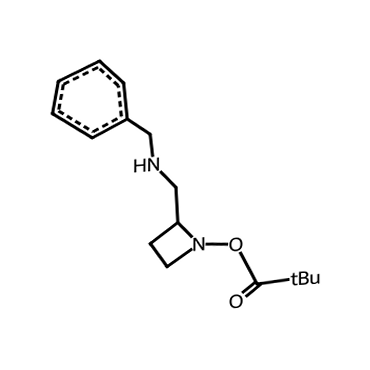 CC(C)(C)C(=O)ON1CCC1CNCc1ccccc1